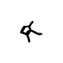 CC1=C(C(C)(C)C)C(C)C=N1